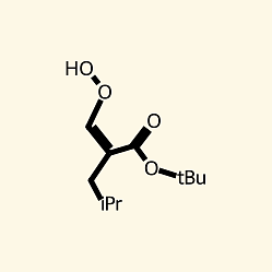 CC(C)CC(=COO)C(=O)OC(C)(C)C